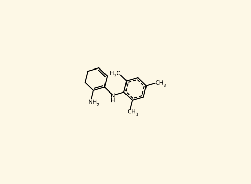 Cc1cc(C)c(NC2=C(N)CCC=C2)c(C)c1